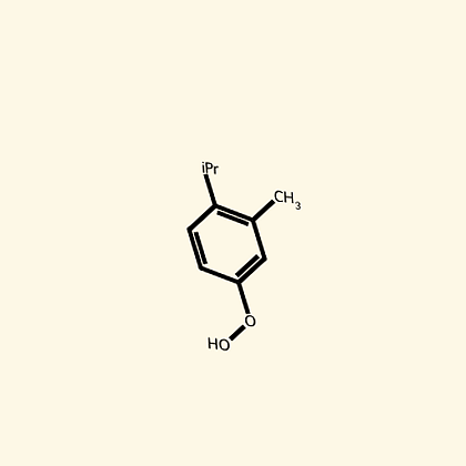 Cc1cc(OO)ccc1C(C)C